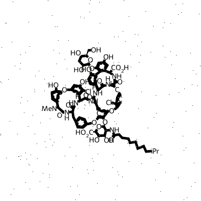 CN[C@H]1C(=O)NC2Cc3ccc(cc3)Oc3cc4cc(c3O[C@@H]3O[C@H](C(=O)O)C(O)[C@H](O)C3NC(=O)CCCCCCCCC(C)C)Oc3ccc(cc3Cl)C[C@@H]3NC(=O)[C@H](NC(=O)C4NC(=O)[C@H](NC2=O)c2cc(cc(O)c2Cl)Oc2cc1ccc2O)c1ccc(O)c(c1)-c1c(OC2O[C@H](CO)C(O)C[C@@H]2O)cc(O)cc1C(C(=O)O)NC3=O